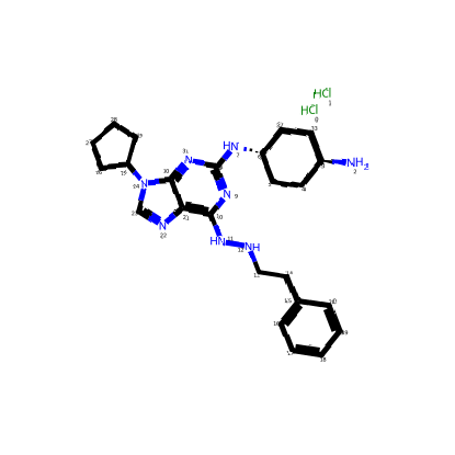 Cl.Cl.N[C@H]1CC[C@H](Nc2nc(NNCCc3ccccc3)c3ncn(C4CCCC4)c3n2)CC1